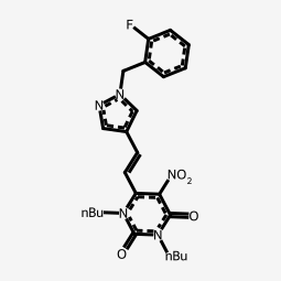 CCCCn1c(C=Cc2cnn(Cc3ccccc3F)c2)c([N+](=O)[O-])c(=O)n(CCCC)c1=O